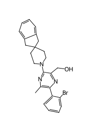 Cc1nc(N2CCC3(CC2)Cc2ccccc2C3)c(CO)nc1-c1ccccc1Br